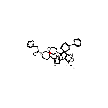 Cc1onc(C2(C(=O)N3CCOCC3)C=CC=C(c3ccccc3)C2)c1-c1csc(C2CCN(C(=O)Cc3cccs3)CC2)n1